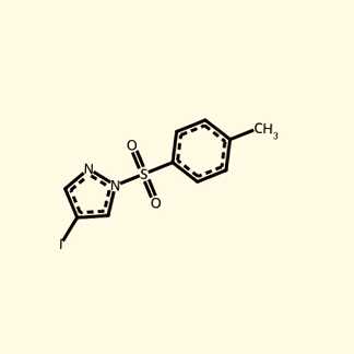 Cc1ccc(S(=O)(=O)n2cc(I)cn2)cc1